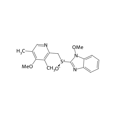 COc1c(C)cnc(C[S@+]([O-])c2nc3ccccc3n2OC)c1C